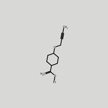 C=C(OCC)C1CCC(OCC#CC)CC1